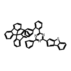 c1ccc(-c2nc(-c3ccc4c(c3)sc3ccccc34)nc(-c3ccccc3-c3cccc(-c4cccc5c4C4(c6ccccc6-c6ccccc64)c4ccccc4-5)c3)n2)cc1